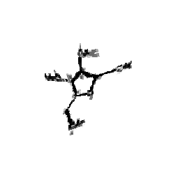 CO[C@H]1[C@@H](COC(C)=O)OC(OC(C)=O)[C@@H]1OC(C)=O